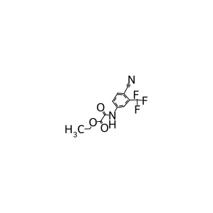 CCOC(=O)C(=O)Nc1ccc(C#N)c(C(F)(F)F)c1